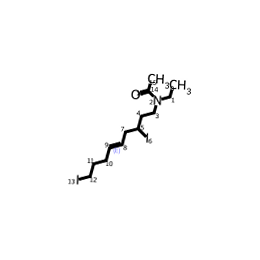 CCN(CCC(I)C/C=C/CCCI)C(C)=O